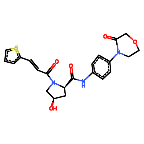 O=C(Nc1ccc(N2CCOCC2=O)cc1)[C@H]1C[C@@H](O)CN1C(=O)/C=C/c1cccs1